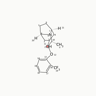 C[C@]1(O)C[C@H]2CC[C@@H](C1)N2CCOc1ccccc1C(F)(F)F